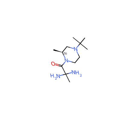 C[C@H]1CN(C(C)(C)C)CCN1C(=O)C(C)(N)N